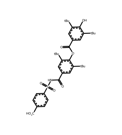 CC(C)(C)c1cc(C(=O)Oc2c(C(C)(C)C)cc(C(=O)NS(=O)(=O)c3ccc(C(=O)O)cc3)cc2C(C)(C)C)cc(C(C)(C)C)c1O